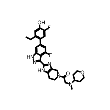 CCc1cc(O)c(F)cc1-c1cc(F)c2c(-c3nc4c([nH]3)CCN(C(=O)CN(C)C3CCOCC3)C4)n[nH]c2c1